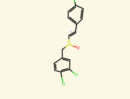 [O-][S+](/C=C/c1ccc(Cl)cc1)Cc1ccc(Cl)c(Cl)c1